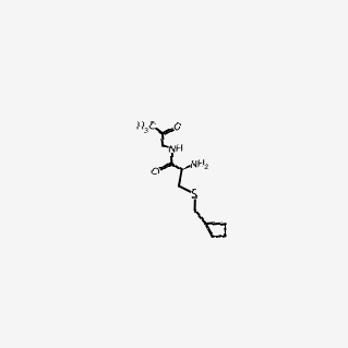 CC(=O)CNC(=O)C(N)CSCC1CCC1